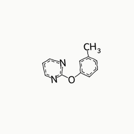 Cc1cccc(Oc2ncccn2)c1